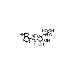 O=P(O)(O)OC[C@H]1OC(N[S+]([O-])c2ncnc3[nH]cnc23)[C@H](O)[C@@H]1O